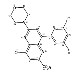 O=C(O)c1cc(Cl)c2nc(N3CCOCC3)nc(-c3cc(F)cc(F)c3)c2n1